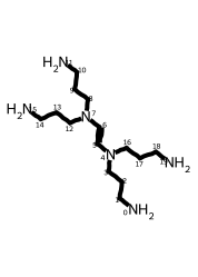 NCCCN(/C=C/N(CCCN)CCCN)CCCN